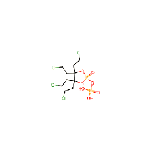 O=P(O)(O)OP1(=O)OC(CCCl)(CCCl)C(CCCl)(CCCl)O1